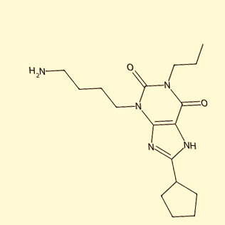 CCCn1c(=O)c2[nH]c(C3CCCC3)nc2n(CCCCN)c1=O